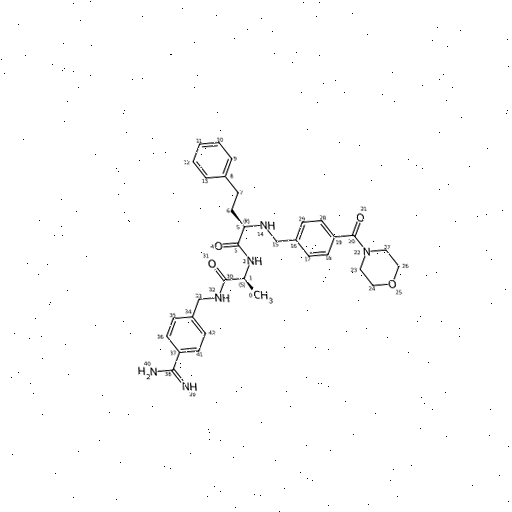 C[C@H](NC(=O)[C@@H](CCc1ccccc1)NCc1ccc(C(=O)N2CCOCC2)cc1)C(=O)NCc1ccc(C(=N)N)cc1